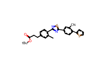 Cc1cc(CCC(=O)OC(C)(C)C)ccc1-c1nsc(-c2ccc(-c3cccs3)c(C#N)c2)n1